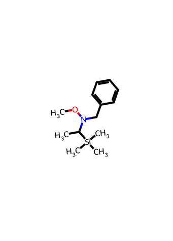 CON(Cc1ccccc1)C(C)[Si](C)(C)C